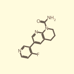 NC(=O)N1CCCc2cc(-c3cnccc3F)cnc21